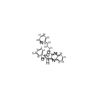 Cc1cccc(S(=O)(=O)Nc2nc3ccccc3nc2OCCCc2ccccn2)c1